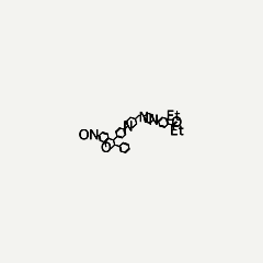 CCC(=O)c1ccc(N2CCN(CC3CCN(c4ccc(C5c6ccc(N=O)cc6OCC5c5ccccc5)cc4)CC3)CC2)cc1CC